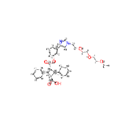 CCOCCOCCOCCn1cnc(-c2cccc(OC(=O)[C@H]3[C@@H](c4ccccc4)[C@H](C(=O)O)[C@@H]3c3ccccc3)c2)c1